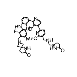 COc1nc(-c2ccnc(-c3cccc(Nc4cccc(CN5CC6(CCC(=O)N6)C5)c4F)c3Cl)c2Cl)ccc1CNC[C@H]1CCC(=O)N1